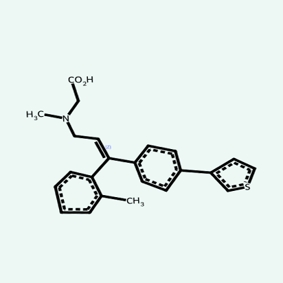 Cc1ccccc1/C(=C\CN(C)CC(=O)O)c1ccc(-c2ccsc2)cc1